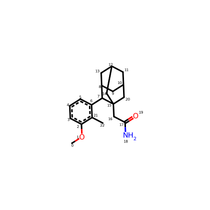 COc1cccc(C2C3CC4CC(C3)CC2(CC(N)=O)C4)c1C